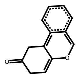 O=C1CC=C2OC=c3ccccc3=C2C1